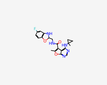 Cc1oc2ncnc(NC3(C)CC3)c2c1C(=O)NCC1Nc2cc(F)ccc2O1